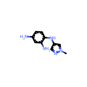 Cn1cc(Nc2ccc(N)cc2N)cn1